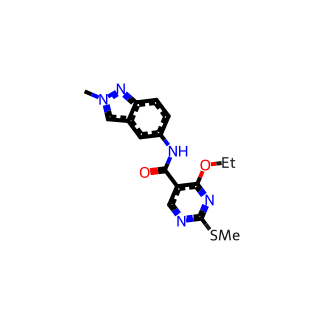 CCOc1nc(SC)ncc1C(=O)Nc1ccc2nn(C)cc2c1